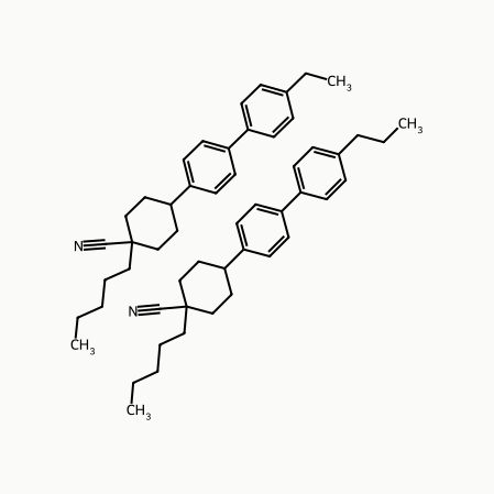 CCCCCC1(C#N)CCC(c2ccc(-c3ccc(CC)cc3)cc2)CC1.CCCCCC1(C#N)CCC(c2ccc(-c3ccc(CCC)cc3)cc2)CC1